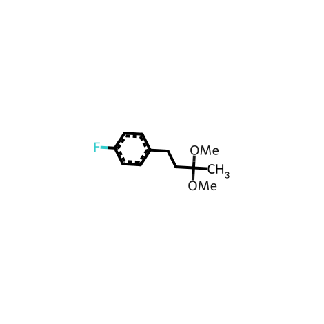 COC(C)(CCc1ccc(F)cc1)OC